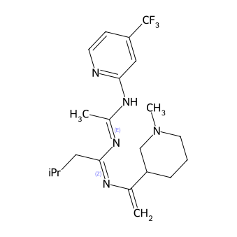 C=C(/N=C(CC(C)C)\N=C(/C)Nc1cc(C(F)(F)F)ccn1)C1CCCN(C)C1